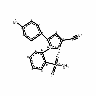 N#Cc1cc(-c2ccc(Br)cc2)n(-c2ccccc2S(N)(=O)=O)n1